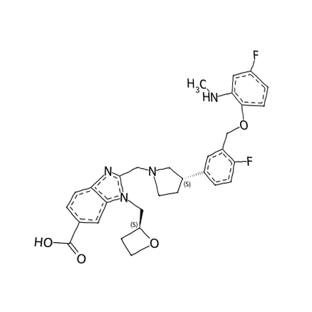 CNc1cc(F)ccc1OCc1cc([C@@H]2CCN(Cc3nc4ccc(C(=O)O)cc4n3C[C@@H]3CCO3)C2)ccc1F